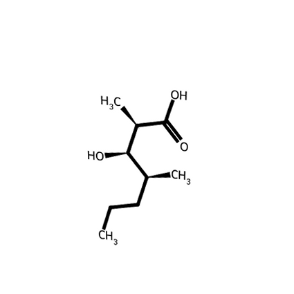 CCC[C@H](C)[C@@H](O)[C@@H](C)C(=O)O